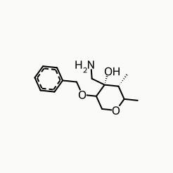 CC1OCC(OCc2ccccc2)[C@@](O)(CN)[C@@H]1C